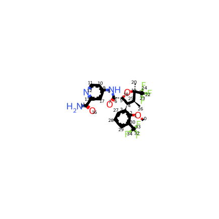 COc1c([C@@H]2[C@H](C(=O)Nc3ccnc(C(N)=O)c3)O[C@@](C)(C(F)(F)F)[C@H]2C)cccc1C(F)(F)F